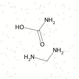 NC(=O)O.NCN